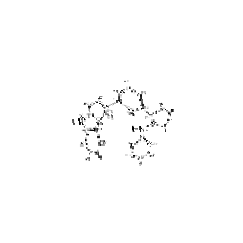 c1ccc(Nc2ccccc2-c2cccc(-c3ccc4[nH]c5ccccc5c4c3)c2)cc1